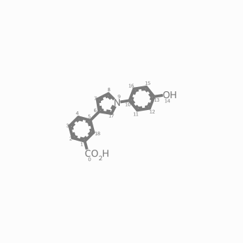 O=C(O)c1cccc(-c2ccn(-c3ccc(O)cc3)c2)c1